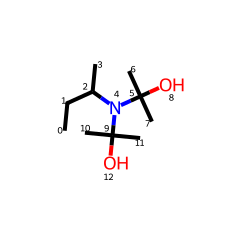 CCC(C)N(C(C)(C)O)C(C)(C)O